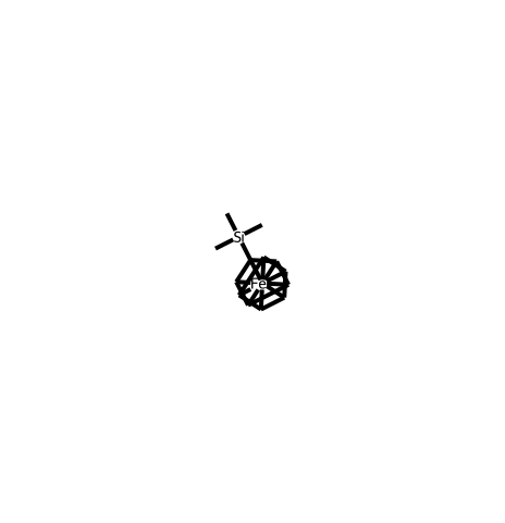 C[Si](C)(C)[C]12[CH]3[CH]4[CH]5[CH]1[Fe]45321678[CH]2[CH]1[CH]6[CH]7[CH]28